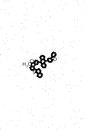 CC1(C)c2ccc(-c3c4ccccc4c(-c4ccc5oc6ccccc6c5c4)c4ccccc34)cc2-c2c1ccc1sc3c4ccccc4ccc3c21